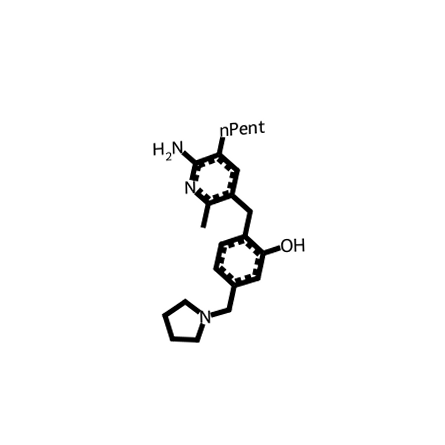 CCCCCc1cc(Cc2ccc(CN3CCCC3)cc2O)c(C)nc1N